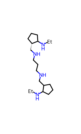 CCNC1CCCC1CNCCCNC[C@@H]1CCCC1NCC